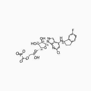 O=C(OCP(O)OC[C@H]1O[C@@H](n2ncc3c(N[C@@H]4CCc5ccc(F)cc54)cc(Cl)nc32)[C@H](O)[C@@H]1O)P(=O)=O